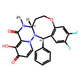 CC(C)N1C(=O)c2c(O)c(=O)ccn2N2[C@H](c3ccccc3)c3cc(F)c(F)cc3OCC[C@@H]12